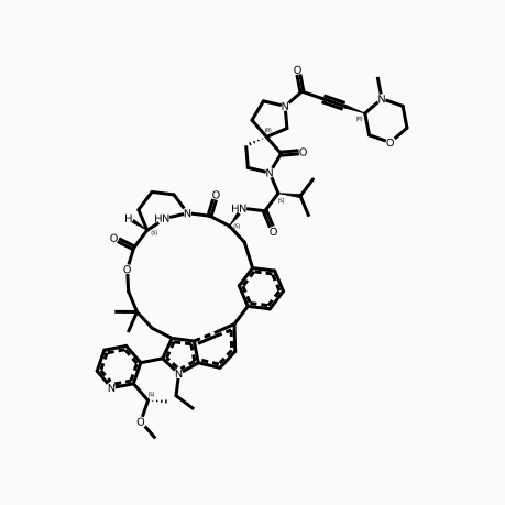 CCn1c(-c2cccnc2[C@H](C)OC)c2c3cc(ccc31)-c1cccc(c1)C[C@H](NC(=O)[C@H](C(C)C)N1CC[C@@]3(CCN(C(=O)C#C[C@@H]4COCCN4C)C3)C1=O)C(=O)N1CCC[C@H](N1)C(=O)OCC(C)(C)C2